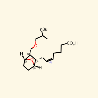 CCCCC(C)COC[C@@H]1[C@H](C/C=C\CCCC(=O)O)[C@@H]2CC[C@H]1O2